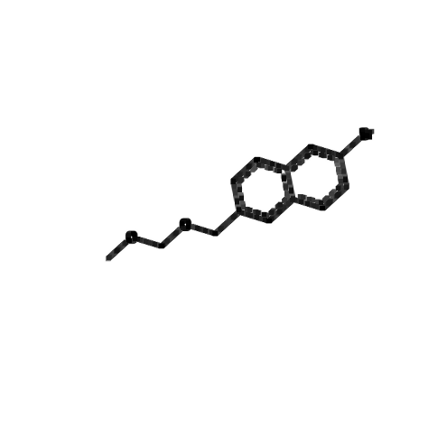 COCOCc1ccc2cc(Br)ccc2c1